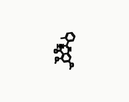 COc1cc(OC)c2c(=O)[nH]c(-c3ccccc3C)nc2c1